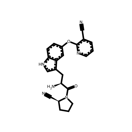 N#Cc1cccnc1Oc1ccc2[nH]cc(C[C@H](N)C(=O)N3CCC[C@H]3C#N)c2c1